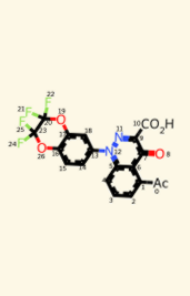 CC(=O)c1cccc2c1c(=O)c(C(=O)O)nn2-c1ccc2c(c1)OC(F)(F)C(F)(F)O2